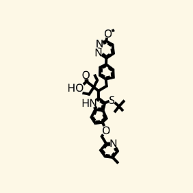 CCC(CC)(C(=O)O)C(Cc1ccc(-c2ccc(OC)nn2)cc1)c1[nH]c2ccc(OCc3ccc(C)cn3)cc2c1SC(C)(C)C